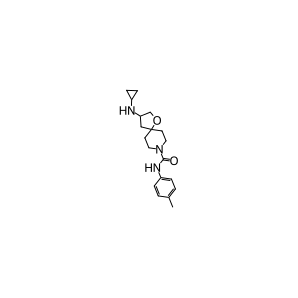 Cc1ccc(NC(=O)N2CCC3(CC2)CC(NC2CC2)CO3)cc1